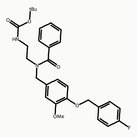 COc1cc(CN(CCNC(=O)OC(C)(C)C)C(=O)c2ccccc2)ccc1OCc1ccc(F)cc1